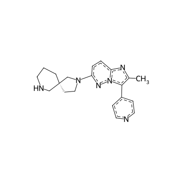 Cc1nc2ccc(N3CC[C@]4(CCCNC4)C3)nn2c1-c1ccncc1